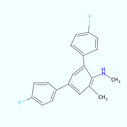 CNc1c(C)cc(-c2ccc(F)cc2)cc1-c1ccc(F)cc1